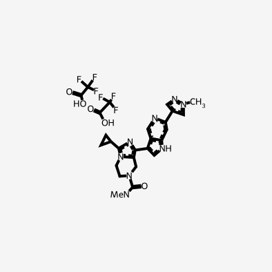 CNC(=O)N1CCn2c(C3CC3)nc(-c3c[nH]c4cc(-c5cnn(C)c5)ncc34)c2C1.O=C(O)C(F)(F)F.O=C(O)C(F)(F)F